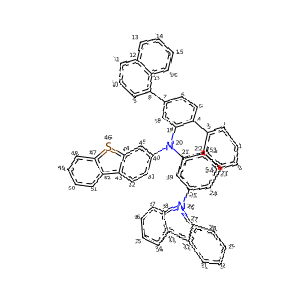 c1ccc(-c2ccc(-c3cccc4ccccc34)cc2N(c2cccc(-n3c4ccccc4c4ccccc43)c2)c2ccc3c(c2)sc2ccccc23)cc1